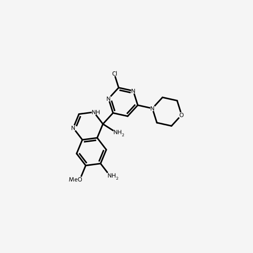 COc1cc2c(cc1N)C(N)(c1cc(N3CCOCC3)nc(Cl)n1)NC=N2